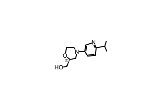 CC(C)c1ccc(N2CCO[C@H](CO)C2)cn1